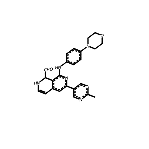 Cc1ncc(-c2cc3c(c(Nc4ccc(N5CCOCC5)cc4)n2)C(C=O)NC=C3)cn1